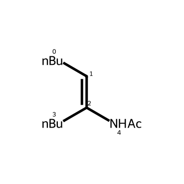 CCCC/C=C(\CCCC)NC(C)=O